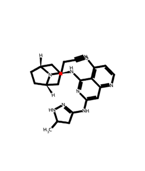 CC1CC(Nc2cc3nccc(O)c3c(N[C@@H]3C[C@H]4CC[C@@H](C3)N4CCC#N)n2)=NN1